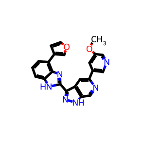 COc1cncc(-c2cc3c(-c4nc5c(-c6ccoc6)cccc5[nH]4)n[nH]c3cn2)c1